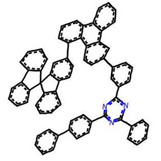 c1ccc(-c2ccc(-c3nc(-c4ccccc4)nc(-c4cccc(-c5ccc6c(c5)c5ccccc5c5cccc(-c7ccc8c(c7)C7(c9ccccc9-c9ccccc97)c7ccccc7-8)c56)c4)n3)cc2)cc1